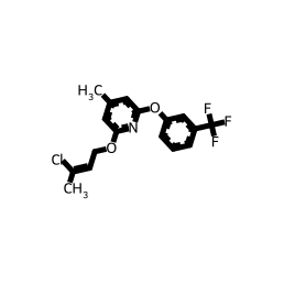 CC(Cl)=CCOc1cc(C)cc(Oc2cccc(C(F)(F)F)c2)n1